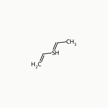 C=C[SH]=CC